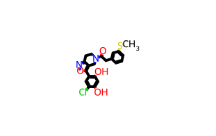 CSc1cccc(CC(=O)N2CCc3noc(-c4cc(Cl)c(O)cc4O)c3C2)c1